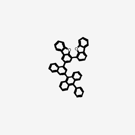 c1ccc(-c2c3ccccc3c(-c3cc(-c4cc(-c5cccc6c5oc5ccccc56)c5oc6ccccc6c5c4)c4ccccc4c3)c3ccccc23)cc1